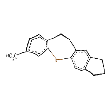 O=C(O)c1ccc2c(c1)Sc1cc3c(cc1CC2)CCC3